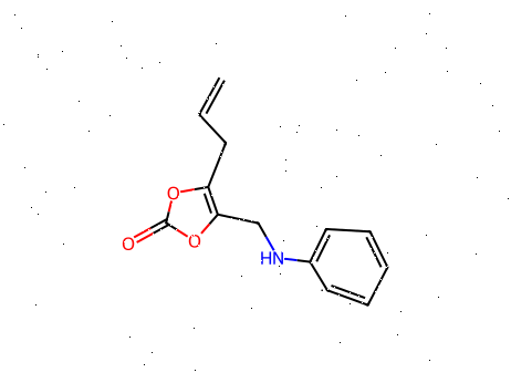 C=CCc1oc(=O)oc1CNc1[c]cccc1